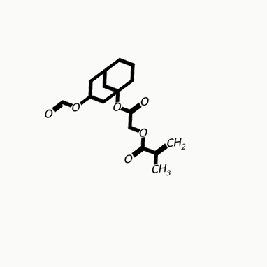 C=C(C)C(=O)OCC(=O)OC12CCCC(CC(OC=O)C1)C2